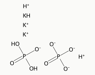 O=P([O-])(O)O.O=P([O-])([O-])[O-].[H+].[H+].[K+].[K+].[KH]